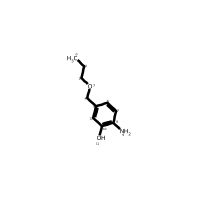 CCCOCc1ccc(N)c(O)c1